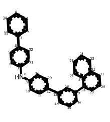 c1ccc(-c2ccc(Nc3ccc(-c4cccc(-c5cccc6ccccc56)c4)cc3)cc2)cc1